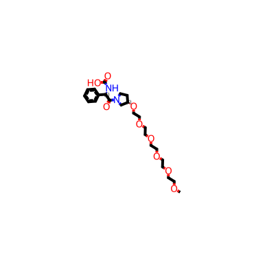 COCCOCCOCCOCCOCCO[C@H]1CCN(C(=O)[C@@H](NC(=O)O)c2ccccc2)C1